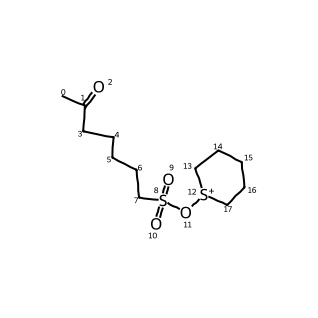 CC(=O)CCCCCS(=O)(=O)O[S+]1CCCCC1